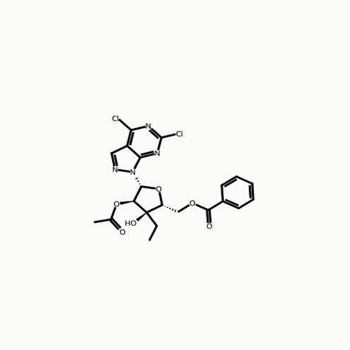 CC[C@@]1(O)[C@@H](COC(=O)c2ccccc2)O[C@@H](n2ncc3c(Cl)nc(Cl)nc32)[C@@H]1OC(C)=O